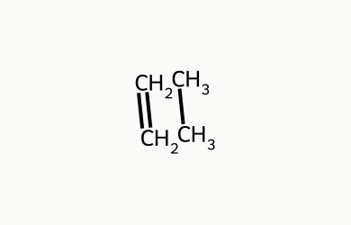 C=C.CC